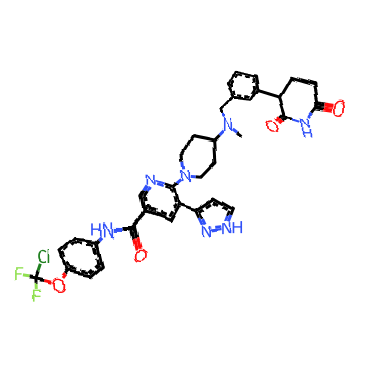 CN(Cc1cccc(C2CCC(=O)NC2=O)c1)C1CCN(c2ncc(C(=O)Nc3ccc(OC(F)(F)Cl)cc3)cc2-c2cc[nH]n2)CC1